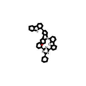 c1ccc(-c2nc(-c3ccccc3)nc(-c3cccc4c3oc3c(-n5c6ccccc6c6cc(-c7cccc8c7sc7ccccc78)ccc65)cccc34)n2)cc1